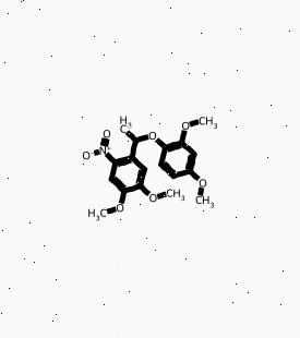 COc1ccc(OC(C)c2cc(OC)c(OC)cc2[N+](=O)[O-])c(OC)c1